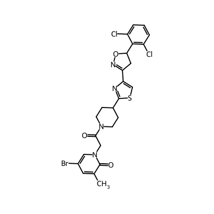 Cc1cc(Br)cn(CC(=O)N2CCC(c3nc(C4=NOC(c5c(Cl)cccc5Cl)C4)cs3)CC2)c1=O